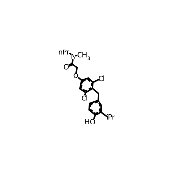 CCCN(C)C(=O)COc1cc(Cl)c(Cc2ccc(O)c(C(C)C)c2)c(Cl)c1